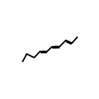 [CH2]CC/C=C/C=C/C=C/C